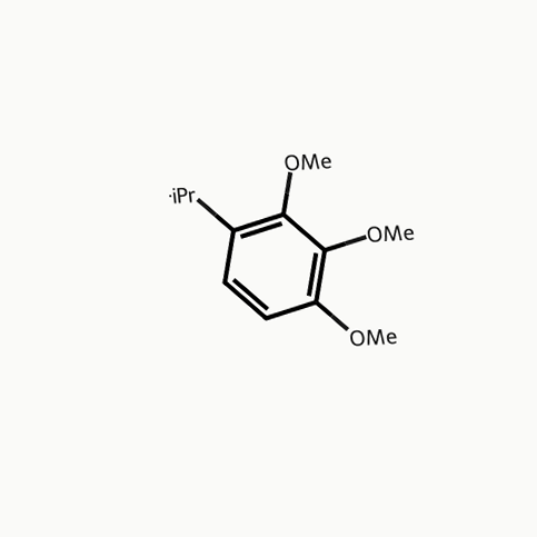 COc1ccc([C](C)C)c(OC)c1OC